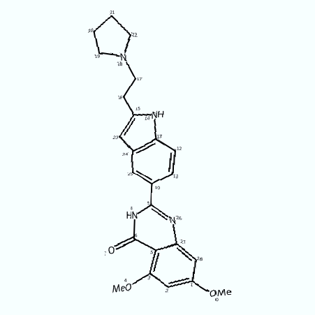 COc1cc(OC)c2c(=O)[nH]c(-c3ccc4[nH]c(CCN5CCCC5)cc4c3)nc2c1